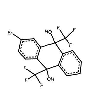 OC1(C(F)(F)F)c2ccccc2C(O)(C(F)(F)F)c2cc(Br)ccc21